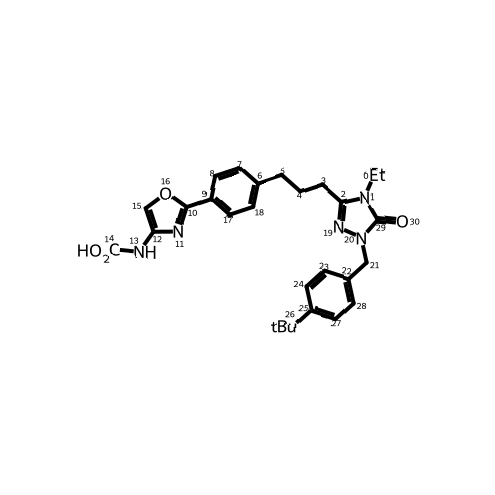 CCn1c(CCCc2ccc(-c3nc(NC(=O)O)co3)cc2)nn(Cc2ccc(C(C)(C)C)cc2)c1=O